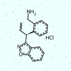 C=C[C@@H](c1ccccc1CN)c1noc2ccccc12.Cl